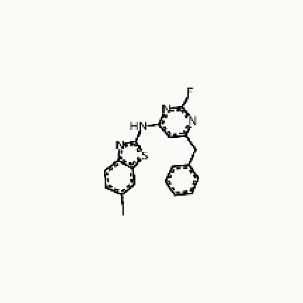 Fc1nc(Cc2ccccc2)cc(Nc2nc3ccc(I)cc3s2)n1